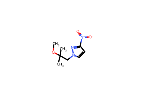 COC(C)(C)Cn1ccc([N+](=O)[O-])n1